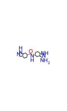 Nc1n[nH]c2ccc(NC(=O)c3ccc4cn[nH]c4c3)cc12